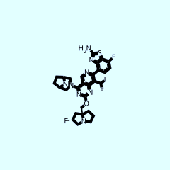 Nc1nc2c(-c3ncc4c(N5CC6CCC(C5)N6)nc(OC[C@@]56CCCN5C[C@H](F)C6)nc4c3C(F)F)ccc(F)c2s1